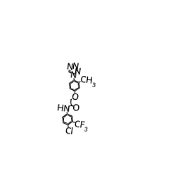 Cc1cc(OCC(=O)Nc2ccc(Cl)c(C(F)(F)F)c2)ccc1-n1cnnn1